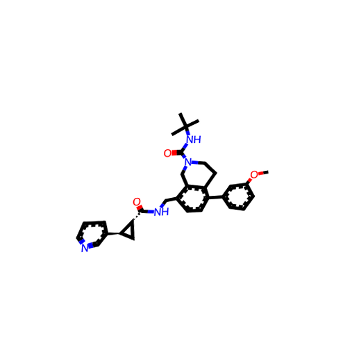 COc1cccc(-c2ccc(CNC(=O)[C@@H]3C[C@H]3c3cccnc3)c3c2CCN(C(=O)NC(C)(C)C)C3)c1